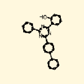 Oc1ccccc1-c1nc(-c2ccccc2)nc(-c2ccc(-c3ccccc3)cc2)n1